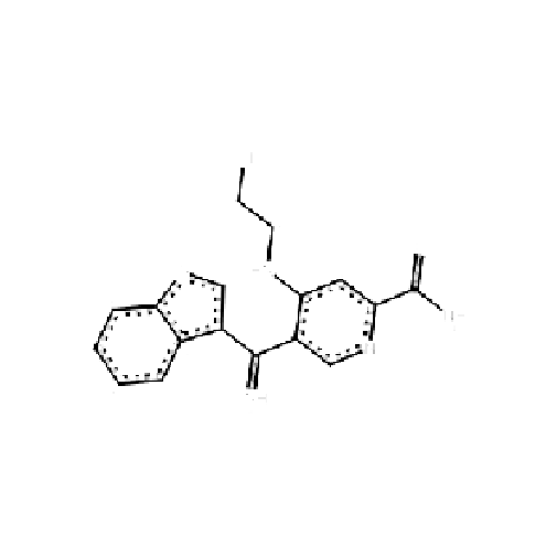 CCCNc1cc(C(N)=O)ncc1C(=N)c1coc2ccccc12